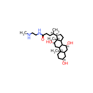 CNCCNC(=O)CC[C@@H](C)[C@H]1CCC2C3C(C[C@H](O)[C@@]21C)[C@@]1(C)CC[C@@H](O)CC1C[C@H]3O